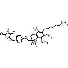 Cc1c(C)c2c(c(C)c1CCCCCCN)CCC(C)(COc1ccc(/C=C3/SC(=O)NC3=O)cc1)O2